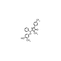 Cc1cc(OC(c2ccccc2)c2nn(-c3ccc(C(F)(F)F)cc3)c(=O)n2C)ccc1O